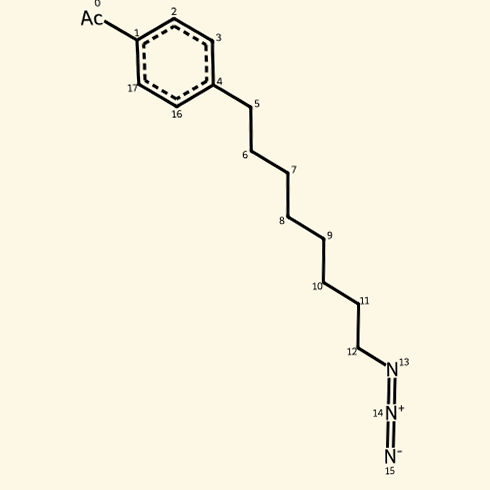 CC(=O)c1ccc(CCCCCCCCN=[N+]=[N-])cc1